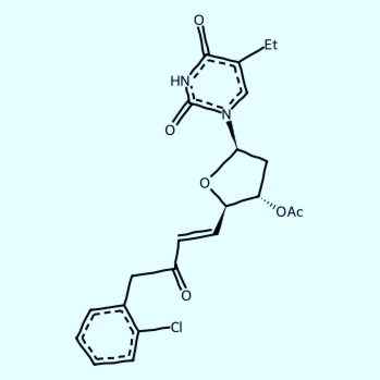 CCc1cn([C@H]2C[C@H](OC(C)=O)[C@@H](C=CC(=O)Cc3ccccc3Cl)O2)c(=O)[nH]c1=O